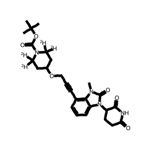 [2H]C1([2H])CC(OCC#Cc2cccc3c2n(C)c(=O)n3C2CCC(=O)NC2=O)CC([2H])([2H])N1C(=O)OC(C)(C)C